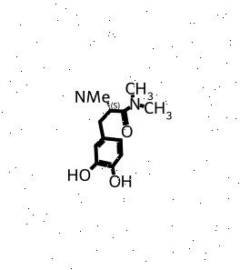 CN[C@@H](Cc1ccc(O)c(O)c1)C(=O)N(C)C